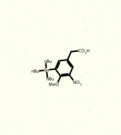 CCC[CH2][Sn]([CH2]CCC)([CH2]CCC)[c]1cc(CC(=O)O)cc([N+](=O)[O-])c1OC